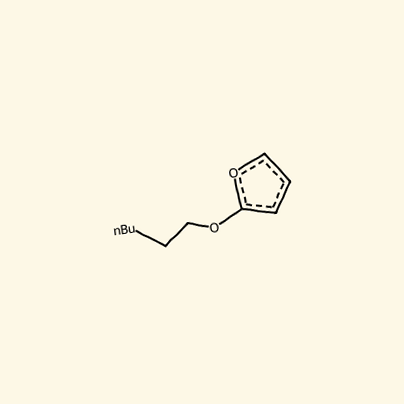 CCCCCCOc1ccco1